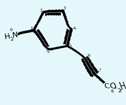 Nc1cccc(C#CC(=O)O)c1